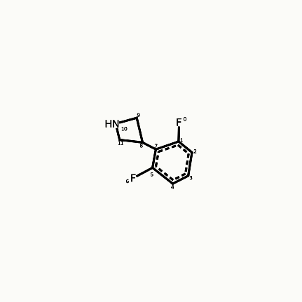 Fc1cccc(F)c1C1CNC1